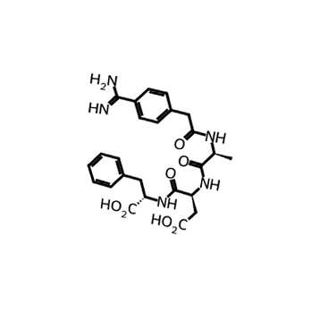 C[C@H](NC(=O)Cc1ccc(C(=N)N)cc1)C(=O)N[C@@H](CC(=O)O)C(=O)N[C@@H](Cc1ccccc1)C(=O)O